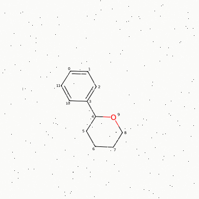 c1ccc(C2CCCCO2)cc1